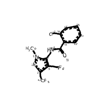 Cn1nc(C(F)(F)F)c(F)c1NC(=O)c1ccccc1Cl